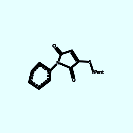 CCCCCSC1=CC(=O)N(c2ccccc2)C1=O